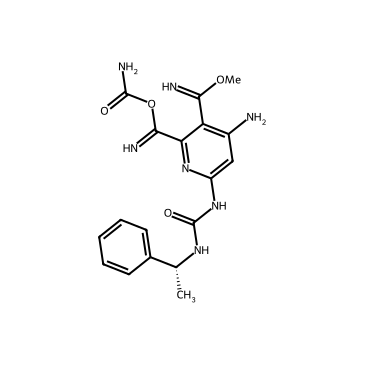 COC(=N)c1c(N)cc(NC(=O)N[C@H](C)c2ccccc2)nc1C(=N)OC(N)=O